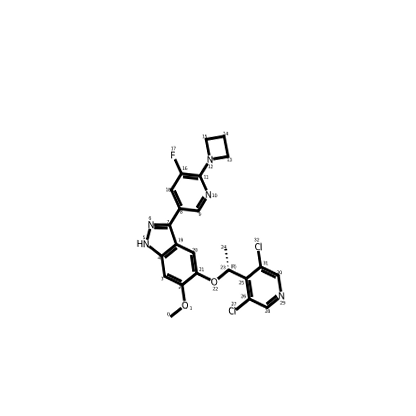 COc1cc2[nH]nc(-c3cnc(N4CCC4)c(F)c3)c2cc1O[C@H](C)c1c(Cl)cncc1Cl